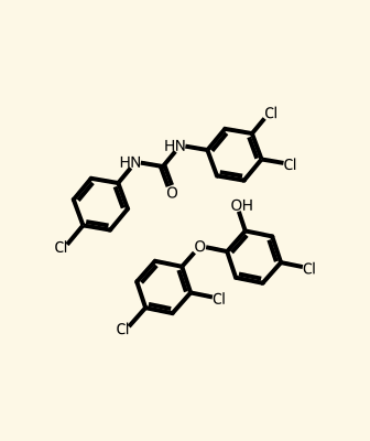 O=C(Nc1ccc(Cl)cc1)Nc1ccc(Cl)c(Cl)c1.Oc1cc(Cl)ccc1Oc1ccc(Cl)cc1Cl